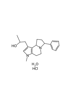 CC(O)Cc1cn(C)c2c1C1CCC(c3ccccc3)N1CC2.Cl.O